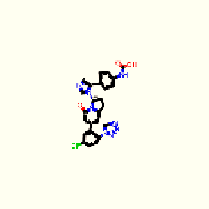 O=C(O)Nc1ccc(-c2cncn2[C@H]2CCc3cc(-c4cc(Cl)ccc4-n4cnnn4)cc(=O)n32)cc1